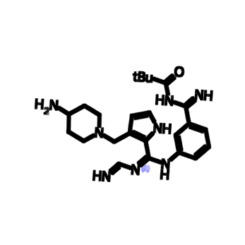 CC(C)(C)C(=O)NC(=N)c1cccc(N/C(=N/C=N)c2[nH]ccc2CN2CCC(N)CC2)c1